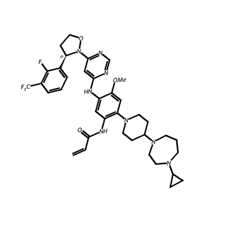 C=CC(=O)Nc1cc(Nc2cc(N3OCC[C@@H]3c3cccc(C(F)(F)F)c3F)ncn2)c(OC)cc1N1CCC(N2CCCN(C3CC3)CC2)CC1